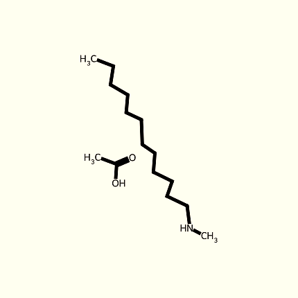 CC(=O)O.CCCCCCCCCCCCNC